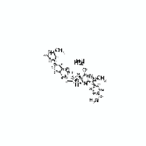 Cc1cc(-c2ccc(CN3CCC(O)(Cn4cnc5c(-c6ccc(CN)cc6)n(C)nc5c4=O)CC3)c(Cl)c2)ccn1.Cl.Cl